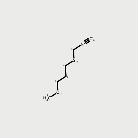 [C-]#[N+]CSCCCOC